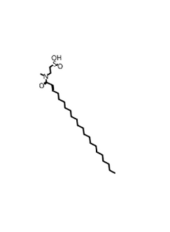 CCCCCCCCCCCCCCCCCCC/C=C/C(=O)N(C)CCS(=O)O